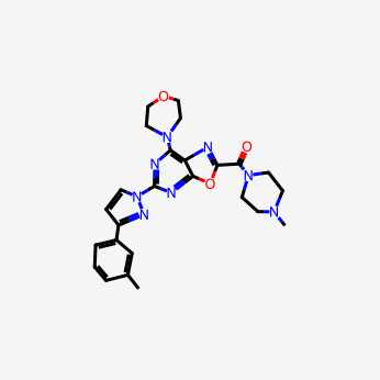 Cc1cccc(-c2ccn(-c3nc(N4CCOCC4)c4nc(C(=O)N5CCN(C)CC5)oc4n3)n2)c1